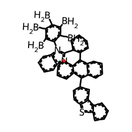 Bc1c(B)c(B)c(-n2c(-c3ccccc3-c3c4ccccc4c(-c4ccc5sc6ccccc6c5c4)c4ccccc34)nc3ccccc32)c(B)c1B